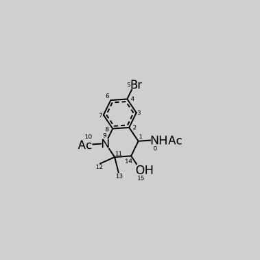 CC(=O)NC1c2cc(Br)ccc2N(C(C)=O)C(C)(C)C1O